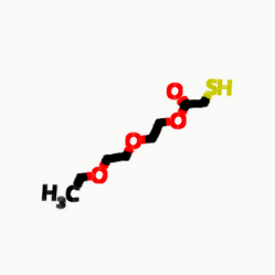 CCOCCOCCOC(=O)CS